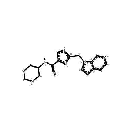 N=C(NC1CCCNC1)c1csc(Cn2ccc3ccncc32)n1